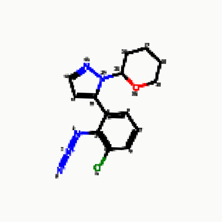 [N-]=[N+]=Nc1c(Cl)cccc1-c1ccnn1C1CCCCO1